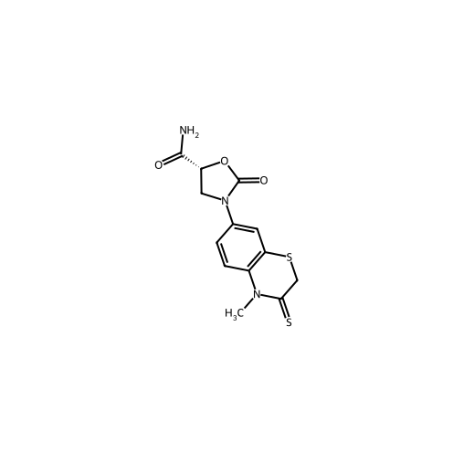 CN1C(=S)CSc2cc(N3C[C@H](C(N)=O)OC3=O)ccc21